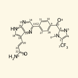 Cn1c(C(F)(F)F)cnc1C(=O)c1ccc(-c2cnc3[nH]cc(C=CC(N)=O)c3n2)cc1